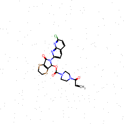 C=CC(=O)N1CCN(C(=O)OC2C3=C(SCCS3)C(=O)N2c2ccc3ccc(Cl)nc3n2)CC1